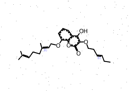 CC/C=C/CCOc1c(O)c2cccc(OC/C=C(\C)CCC=C(C)C)c2oc1=O